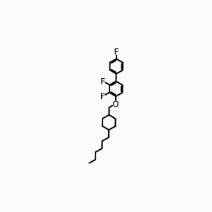 CCCCCCC1CCC(COc2ccc(-c3ccc(F)cc3)c(F)c2F)CC1